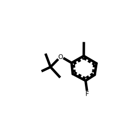 Cc1ccc(F)cc1OC(C)(C)C